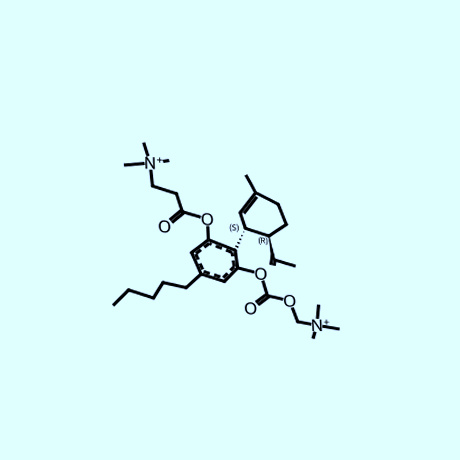 C=C(C)[C@@H]1CCC(C)=C[C@H]1c1c(OC(=O)CC[N+](C)(C)C)cc(CCCCC)cc1OC(=O)OC[N+](C)(C)C